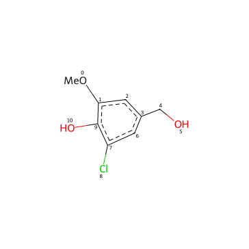 COc1cc(CO)cc(Cl)c1O